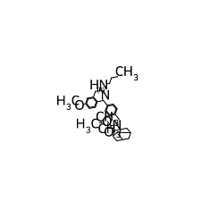 CCCCN[C@H]1Cc2cc(OC)ccc2C(c2ccc(CN(C(=O)OC(C)(C)C)C34CC5CC(CC(C5)C3)C4)cc2)=N1